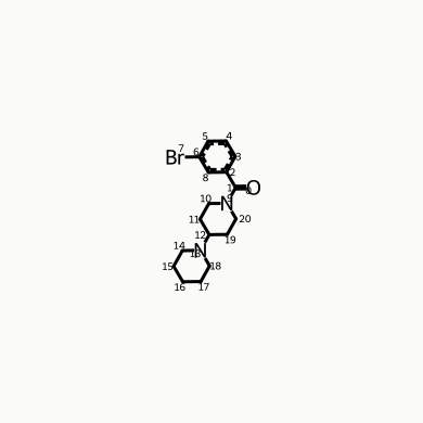 O=C(c1cccc(Br)c1)N1CCC(N2CCCCC2)CC1